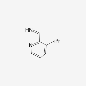 CC(C)c1cccnc1C=N